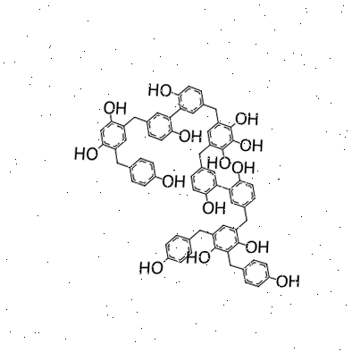 Oc1ccc(Cc2cc(Cc3ccc(O)c(-c4cc(Cc5cc(Cc6ccc(O)c(-c7cc(Cc8cc(Cc9ccc(O)cc9)c(O)c(Cc9ccc(O)cc9)c8O)ccc7O)c6)c(O)c(O)c5O)ccc4O)c3)c(O)cc2O)cc1